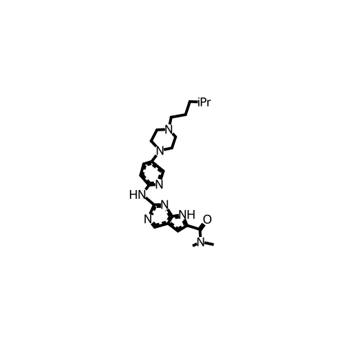 CC(C)CCCN1CCN(c2ccc(Nc3ncc4cc(C(=O)N(C)C)[nH]c4n3)nc2)CC1